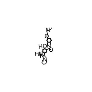 CCN(C)CCOc1ccc2c(c1)CN(C(=O)c1cc3c(CN4CCCCC4)n[nH]c3cc1O)C2